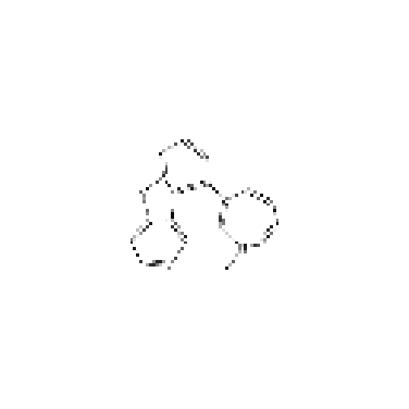 CN1C=CC=CC(c2cccc3sc4ccccc4c23)=C1